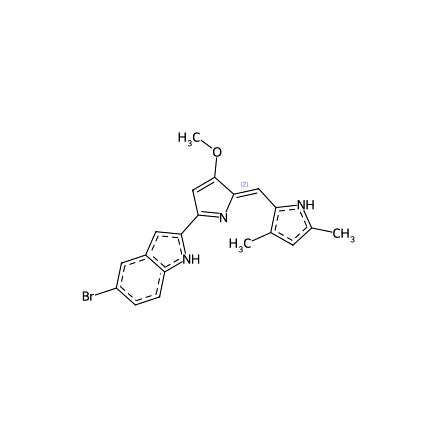 COC1=CC(c2cc3cc(Br)ccc3[nH]2)=N/C1=C\c1[nH]c(C)cc1C